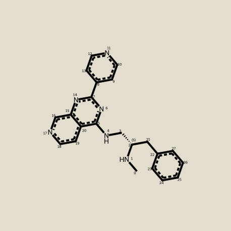 CN[C@H](CNc1nc(-c2ccncc2)nc2cnccc12)Cc1ccccc1